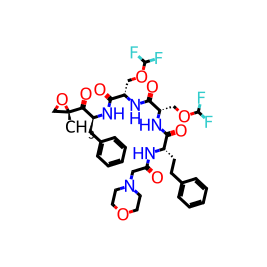 C[C@@]1(C(=O)[C@H](Cc2ccccc2)NC(=O)[C@H](COC(F)F)NC(=O)[C@H](COC(F)F)NC(=O)[C@H](CCc2ccccc2)NC(=O)CN2CCOCC2)CO1